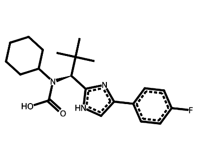 CC(C)(C)[C@@H](c1nc(-c2ccc(F)cc2)c[nH]1)N(C(=O)O)C1CCCCC1